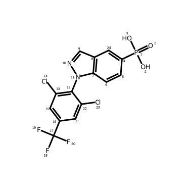 O=P(O)(O)c1ccc2c(cnn2-c2c(Cl)cc(C(F)(F)F)cc2Cl)c1